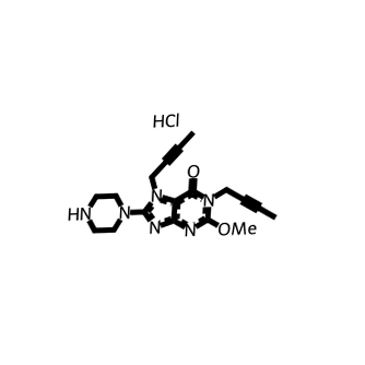 CC#CCn1c(OC)nc2nc(N3CCNCC3)n(CC#CC)c2c1=O.Cl